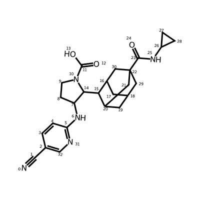 N#Cc1ccc(NC2CCN(C(=O)O)C2C2C3CC4CC2CC(C(=O)NC2CC2)(C4)C3)nc1